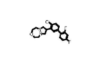 Fc1ccc(-c2ccc(Cl)c(C3CN4CCOCCN4C3)c2)c(F)c1